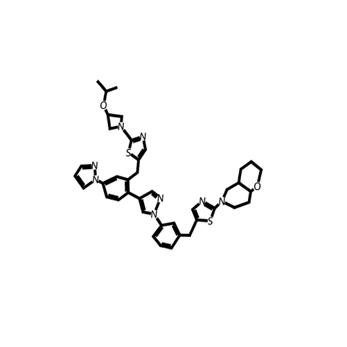 CC(C)OC1CN(c2ncc(Cc3cc(-n4cccn4)ccc3-c3cnn(-c4cccc(Cc5cnc(N6CCC7OCCCC7C6)s5)c4)c3)s2)C1